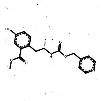 COC(=O)c1cc(O)ccc1C[C@H](C)NC(=O)OCc1ccncc1